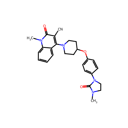 CN1CCN(c2ccc(OC3CCN(c4c(C#N)c(=O)n(C)c5ccccc45)CC3)cc2)C1=O